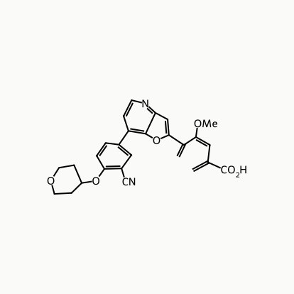 C=C(/C=C(/OC)C(=C)c1cc2nccc(-c3ccc(OC4CCOCC4)c(C#N)c3)c2o1)C(=O)O